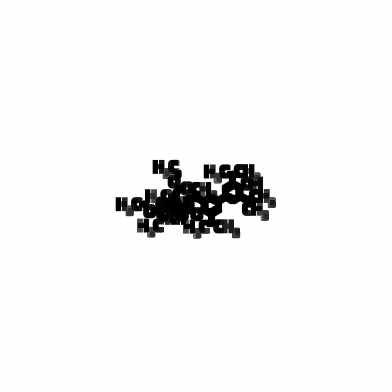 CCOC(=O)[C@H](C)NP(=O)(N[C@@H](C)C(=O)OCC)OCOc1c(C(C)C)cc(-c2cc(C(C)C)c(O)c(C(C)C)c2)cc1C(C)C